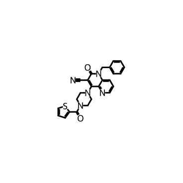 N#Cc1c(N2CCN(C(=O)c3cccs3)CC2)c2ncccc2n(Cc2ccccc2)c1=O